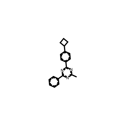 Cc1nc(-c2ccccc2)nc(-c2ccc(C3CCC3)cc2)n1